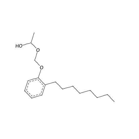 CCCCCCCCc1ccccc1OCOC(C)O